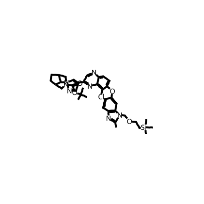 Cc1nc2ccc(Oc3ccc4ncc(-c5cnn(C6C7CCC6CN(C(=O)OC(C)(C)C)C7)c5)nc4c3Cl)cc2n1COCC[Si](C)(C)C